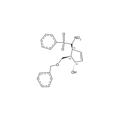 O=[N+]([O-])C([C@H]1C=C[C@H](O)[C@H]1COCc1ccccc1)S(=O)(=O)c1ccccc1